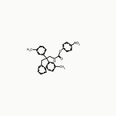 Cc1cccc(C(CNC(=O)Oc2ccc([N+](=O)[O-])cc2)(Cc2ccccc2)c2cccc(C)c2)c1